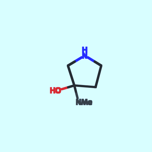 CNC1(O)CCNC1